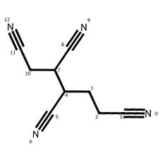 N#CCCC(C#N)C(C#N)CC#N